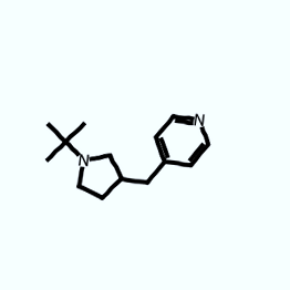 CC(C)(C)N1CCC(Cc2ccncc2)C1